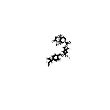 O=C1CO[C@H]2CCN(C(=O)N3CC4(C3)CC(OCc3ccc(C(F)(CF)CF)cc3F)(C(F)(F)F)C4)C[C@H]2N1